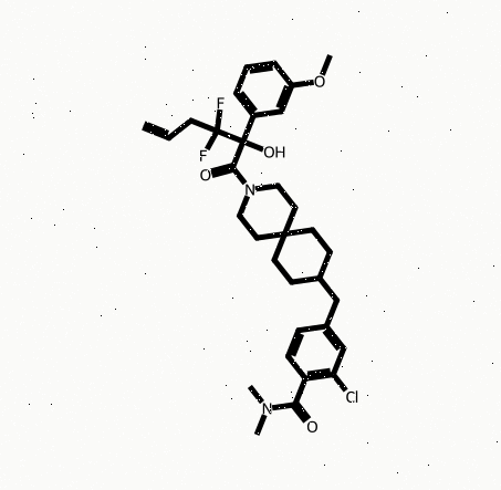 C=CCC(F)(F)C(O)(C(=O)N1CCC2(CCC(Cc3ccc(C(=O)N(C)C)c(Cl)c3)CC2)CC1)c1cccc(OC)c1